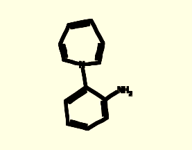 Nc1ccccc1N1C=CC=CC=C1